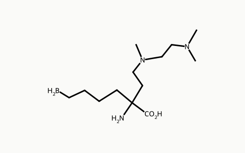 BCCCCC(N)(CCN(C)CCN(C)C)C(=O)O